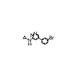 Brc1cccc(-c2cnnc(NC3CC3)c2)c1